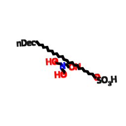 CCCCCCCCCCCCCCCCCCCCCCCCCCCCCCCCCCOS(=O)(=O)O.OCCN(CCO)CCO